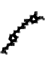 COOSNc1ccc(CCCNCCNc2ccc(C)c(Cl)c2)cc1